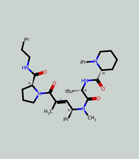 C/C(=C\[C@H](C(C)C)N(C)C(=O)[C@@H](NC(=O)[C@H]1CCCCN1C(C)C)C(C)(C)C)C(=O)N1CCC[C@H]1C(=O)NCCC(C)C